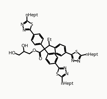 CCCCCCCc1nnc(-c2ccc(C(CC)C(C(=O)OCC(O)CO)(c3ccc(-c4nnc(CCCCCCC)s4)cc3)c3ccc(-c4nnc(CCCCCCC)s4)cc3)cc2)s1